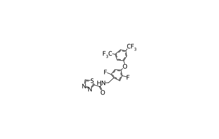 O=C(NCc1cc(F)c(Oc2cc(C(F)(F)F)cc(C(F)(F)F)c2)cc1F)c1nncs1